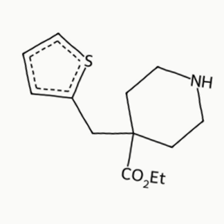 CCOC(=O)C1(Cc2cccs2)CCNCC1